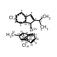 CC(C)C1=Cc2ccccc2[CH]1[Zr+2].CC1=C2C3=NC=CC3=C1[Si]2(C)C.[Cl-].[Cl-]